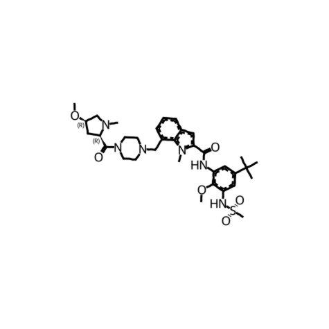 COc1c(NC(=O)c2cc3cccc(CN4CCN(C(=O)[C@H]5C[C@@H](OC)CN5C)CC4)c3n2C)cc(C(C)(C)C)cc1NS(C)(=O)=O